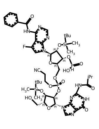 CC(C)C(=O)Nc1nc2c(ncn2[C@@H]2O[C@H](CO)[C@@H](O[Si](C)(C)C(C)(C)C)[C@H]2OP(=O)(OCCC#N)OC[C@H]2O[C@@H](n3cc(F)c4c(NC(=O)c5ccccc5)ncnc43)[C@H](O[Si](C)(C)C(C)(C)C)[C@@H]2O[PH](=O)O)c(=O)[nH]1